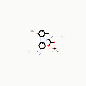 CCCCCCCN(Cc1ccc(OCC(C)CC)cc1)C(Nc1ccc(N(C)C)cc1)=C1C(=O)OC(C)(C)OC1=O